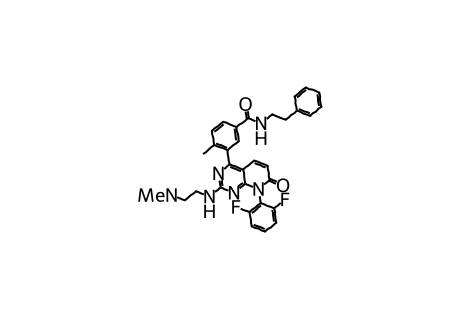 CNCCNc1nc(-c2cc(C(=O)NCCc3ccccc3)ccc2C)c2ccc(=O)n(-c3c(F)cccc3F)c2n1